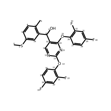 CSc1ccc(C)c(C(O)c2cnc(Oc3ccc(F)cc3F)nc2Oc2ccc(F)cc2F)c1